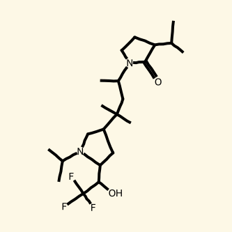 CC(C)C1CCN(C(C)CC(C)(C)C2CC(C(O)C(F)(F)F)N(C(C)C)C2)C1=O